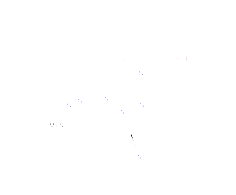 CCc1c(F)ccc2cc(O)cc(N3CCc4c(nc(OC[C@@]56CCCN5C[C@H](F)C6)nc4N4CCCn5nc(NC)c(C)c5C4)C3)c12